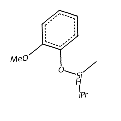 COc1ccccc1O[SiH](C)C(C)C